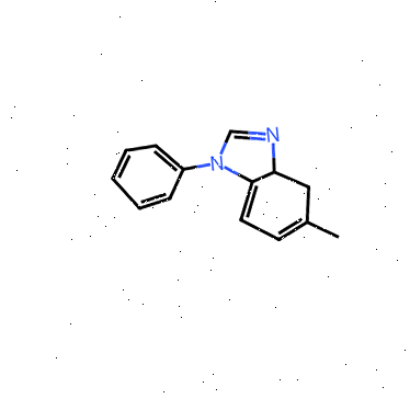 CC1=CC=C2C(C1)N=CN2c1ccccc1